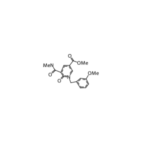 CNC(=O)c1cc(C(=O)OC)cn(Cc2cccc(OC)c2)c1=O